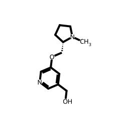 CN1CCC[C@H]1COc1cncc(CO)c1